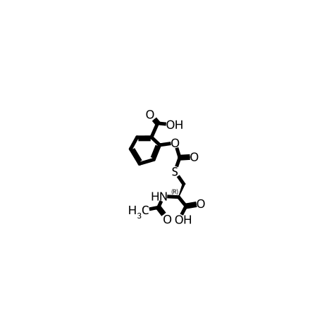 CC(=O)N[C@@H](CSC(=O)Oc1ccccc1C(=O)O)C(=O)O